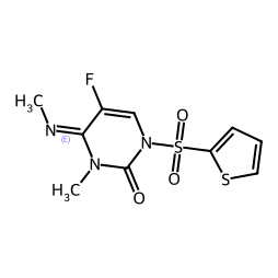 C/N=c1\c(F)cn(S(=O)(=O)c2cccs2)c(=O)n1C